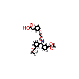 O=C(O)Cc1cccc(OCCON=C(c2cccc(C3OCCO3)c2)c2cccc(C3OCCO3)c2)c1